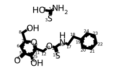 NC(O)=S.O=c1cc(CO)oc(COC(=S)NCCc2ccccc2)c1O